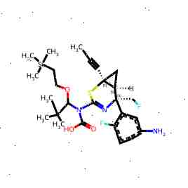 CC#C[C@]12C[C@H]1[C@@](CF)(c1cc(N)ccc1F)N=C(N(C(=O)O)C(OCC[Si](C)(C)C)C(C)(C)C)S2